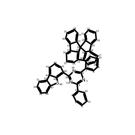 c1ccc(-c2nc(-c3ccccc3-c3cccc4c3C3(c5ccccc5-c5ccccc53)c3ccccc3-4)nc(-c3cccc4c3sc3ccccc34)n2)cc1